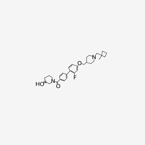 CC1(CN2CCC(COc3ccc(-c4ccc(C(=O)N5CCC[C@H](O)C5)cc4)c(F)c3)CC2)CCC1